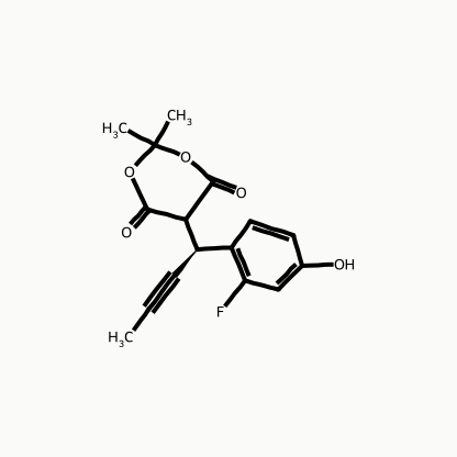 CC#C[C@H](c1ccc(O)cc1F)C1C(=O)OC(C)(C)OC1=O